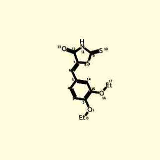 CCOc1ccc(/C=C2\SC(=S)NC2=O)cc1OCC